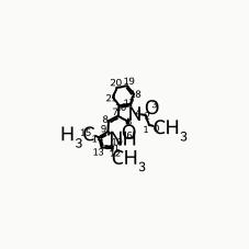 CCC(=O)N1C(=O)/C(=C\c2[nH]c(C)cc2C)C2=C1C=CCC2